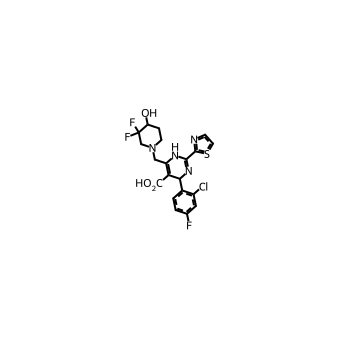 O=C(O)C1=C(CN2CCC(O)C(F)(F)C2)NC(c2nccs2)=NC1c1ccc(F)cc1Cl